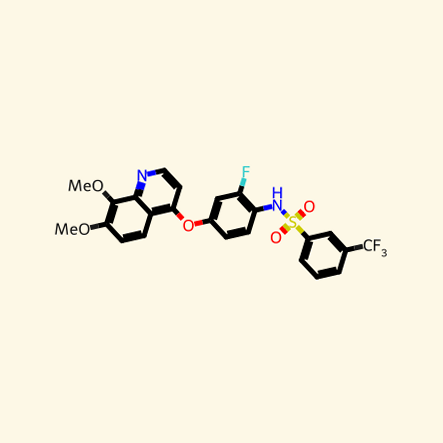 COc1ccc2c(Oc3ccc(NS(=O)(=O)c4cccc(C(F)(F)F)c4)c(F)c3)ccnc2c1OC